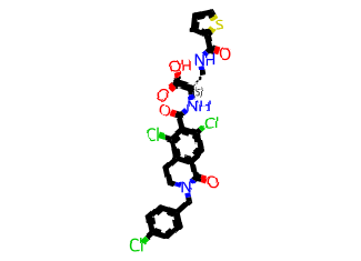 O=C(NC[C@H](NC(=O)c1c(Cl)cc2c(c1Cl)CCN(Cc1ccc(Cl)cc1)C2=O)C(=O)O)c1cccs1